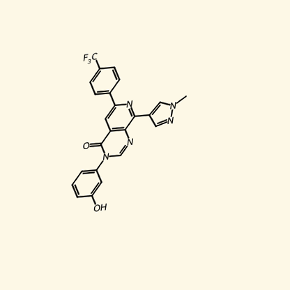 Cn1cc(-c2nc(-c3ccc(C(F)(F)F)cc3)cc3c(=O)n(-c4cccc(O)c4)cnc23)cn1